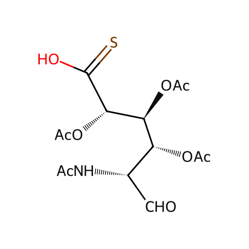 CC(=O)N[C@@H](C=O)[C@@H](OC(C)=O)[C@H](OC(C)=O)[C@H](OC(C)=O)C(O)=S